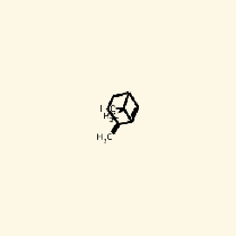 C=C1CCC2C=C1C2(C)C